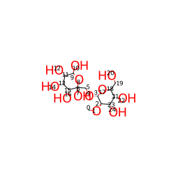 CO[C@H]1[C@H](OC[C@@]2(O)OC(O)[C@H](O)[C@@H](O)[C@H]2O)OC(CO)[C@H](O)[C@@H]1O